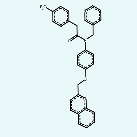 O=C(Cc1ccc(C(F)(F)F)cc1)N(Cc1cccnc1)c1ccc(OCc2ccc3ccccc3n2)cc1